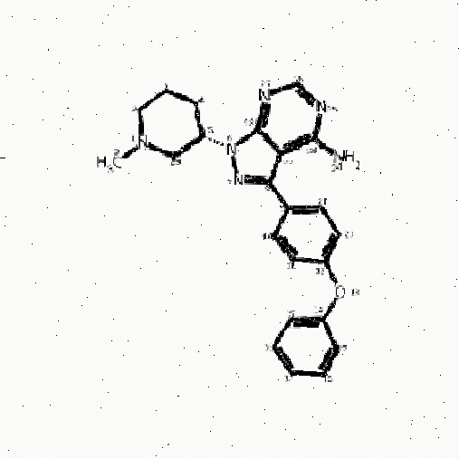 CN1CCC[C@H](n2nc(-c3ccc(Oc4ccccc4)cc3)c3c(N)ncnc32)C1